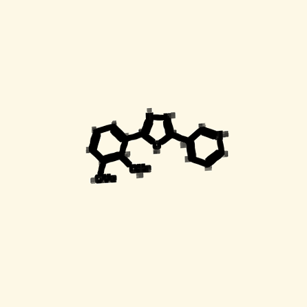 COc1cccc(-c2nnc(-c3cccnc3)o2)c1OC